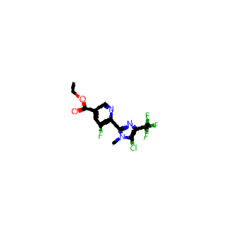 CCOC(=O)c1cnc(-c2nc(C(F)(F)F)c(Cl)n2C)c(F)c1